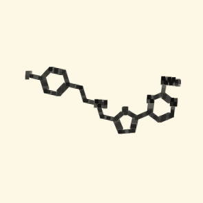 CNc1nccc(-c2ccc(CNCCc3ccc(F)cc3)s2)n1